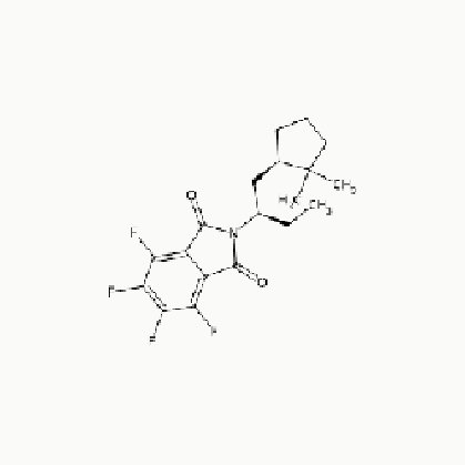 CC[C@H](C[C@H]1CCCC1(C)C)N1C(=O)c2c(F)c(F)c(F)c(F)c2C1=O